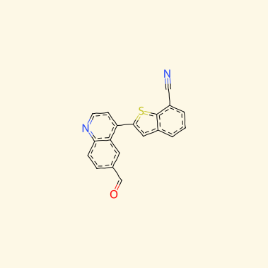 N#Cc1cccc2cc(-c3ccnc4ccc(C=O)cc34)sc12